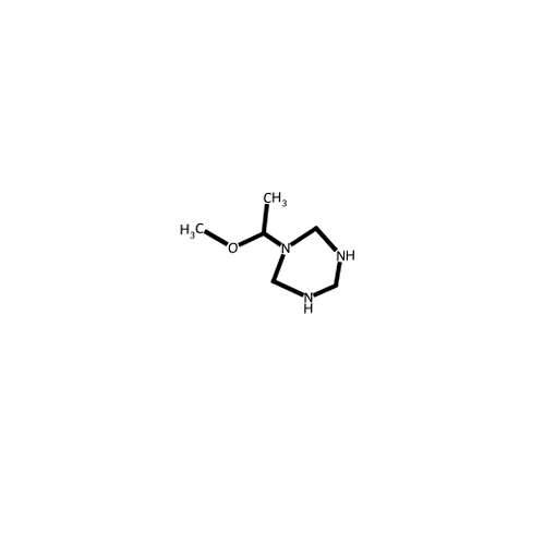 COC(C)N1CNCNC1